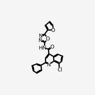 O=C(Nc1nnc(-c2ccco2)o1)c1cc(-c2ccccc2)nc2c(Cl)cccc12